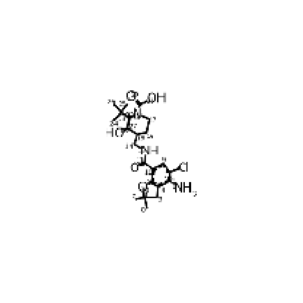 CC1(C)Cc2c(N)c(Cl)cc(C(=O)NCC3CCN(C(=O)O)C(C(C)(C)C)C3O)c2O1